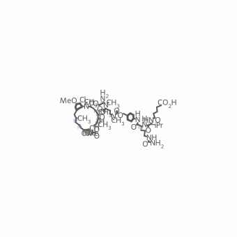 COc1cc2cc(c1Cl)N(C)C(=O)C[C@H](OC(=O)[C@H](N)N(C)C(=O)CCN(C)C(=O)OCc1ccc(NC(=O)[C@H](CCCNC(N)=O)NC(=O)[C@@H](NC(=O)CCCCC(=O)O)C(C)C)cc1)[C@]1(C)O[C@H]1[C@H](C)[C@@H]1C[C@@](O)(NC(=O)O1)[C@H](OC)/C=C/C=C(\C)C2